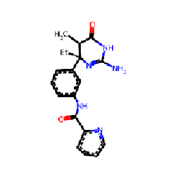 CC[C@]1(c2cccc(NC(=O)c3ccccn3)c2)N=C(N)NC(=O)C1C